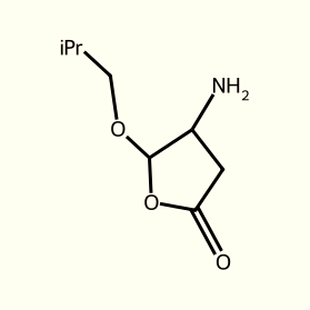 CC(C)COC1OC(=O)CC1N